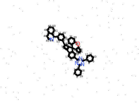 c1ccc(-c2nc(-c3ccccc3)nc(-c3ccc4c(c3)C3(c5ccccc5Oc5ccccc53)c3cc(-c5cccc(-c6nccc7ccccc67)c5)ccc3-4)n2)cc1